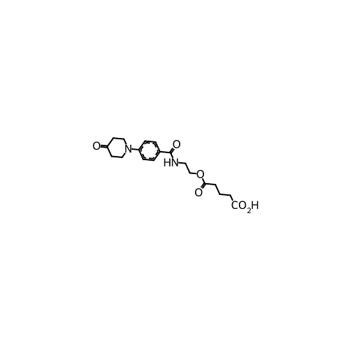 O=C(O)CCCC(=O)OCCNC(=O)c1ccc(N2CCC(=O)CC2)cc1